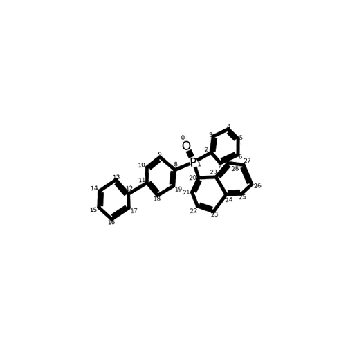 O=P(c1ccccc1)(c1ccc(-c2ccccc2)cc1)c1cccc2ccccc12